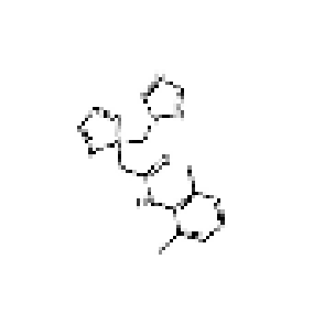 Cc1cccc(C)c1NC(=O)C[N+]1(Cn2cncn2)C=CC=N1